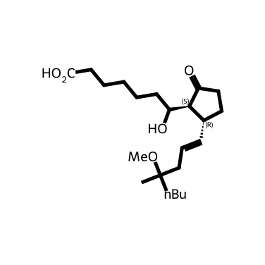 CCCCC(C)(CC=C[C@H]1CCC(=O)[C@@H]1C(O)CCCCCC(=O)O)OC